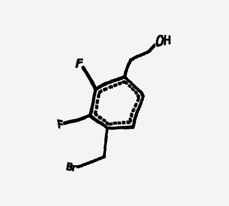 OCc1ccc(CBr)c(F)c1F